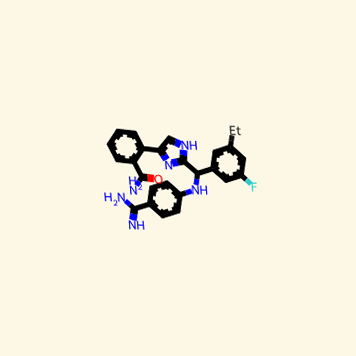 CCc1cc(F)cc(C(Nc2ccc(C(=N)N)cc2)c2nc(-c3ccccc3C(N)=O)c[nH]2)c1